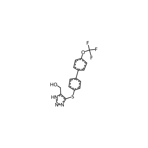 OCc1[nH]nnc1Sc1ccc(-c2ccc(OC(F)(F)F)cc2)cc1